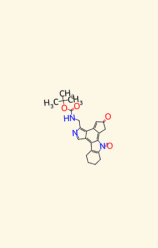 CC(C)(C)OC(=O)NCC1=c2c(c3c(c4c2=CC(=O)C4)[N+](=O)C2=C3CCCC2)C=N1